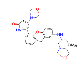 COC[C@H](CN1CCOCC1)Nc1ccc2c(c1)Cc1cccc(-c3cc(N4CCOCC4)cc(=O)[nH]3)c1O2